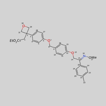 CCOC(=O)CC1(c2ccc(OCc3ccc(OCC(=NOC)c4ccc(C)cc4)cc3)cc2)COC1